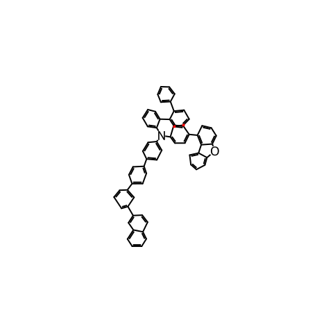 c1ccc(-c2ccccc2-c2ccccc2N(c2ccc(-c3ccc(-c4cccc(-c5ccc6ccccc6c5)c4)cc3)cc2)c2ccc(-c3cccc4oc5ccccc5c34)cc2)cc1